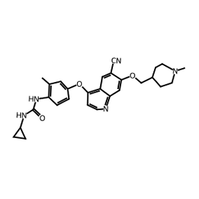 Cc1cc(Oc2ccnc3cc(OCC4CCN(C)CC4)c(C#N)cc23)ccc1NC(=O)NC1CC1